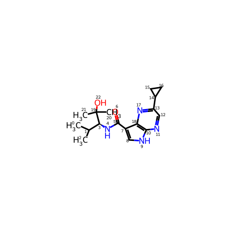 CC(C)[C@H](NC(=O)c1c[nH]c2ncc(C3CC3)nc12)C(C)(C)O